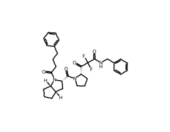 O=C([C@@H]1C[C@@H]2CCC[C@@H]2N1C(=O)CCCc1ccccc1)N1CCC[C@H]1C(=O)C(F)(F)C(=O)NCc1ccccc1